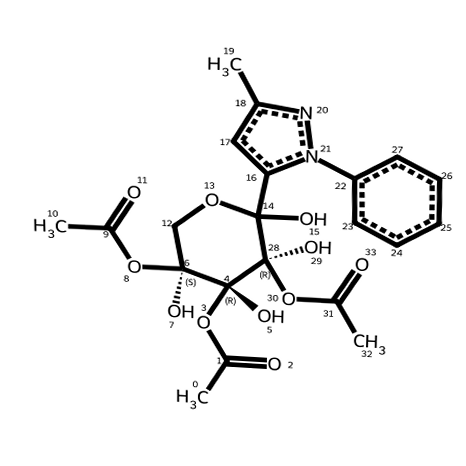 CC(=O)O[C@]1(O)[C@@](O)(OC(C)=O)COC(O)(c2cc(C)nn2-c2ccccc2)[C@@]1(O)OC(C)=O